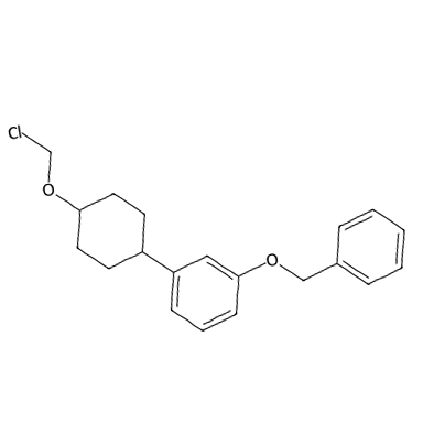 ClCOC1CCC(c2cccc(OCc3ccccc3)c2)CC1